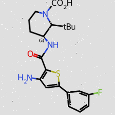 CC(C)(C)C1[C@@H](NC(=O)c2sc(-c3cccc(F)c3)cc2N)CCCN1C(=O)O